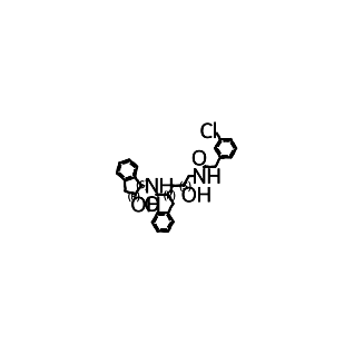 O=C(Cc1cccc(Cl)c1)NC[C@@H](O)C[C@@H](Cc1ccccc1)C(=O)N[C@H]1c2ccccc2C[C@H]1O